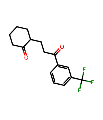 O=C(CCC1CCCCC1=O)c1cccc(C(F)(F)F)c1